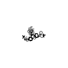 CC(C)(C)OC(=O)N1CCC2(C=C(OS(=O)(=O)C(F)(F)F)c3cc(O[Si](C)(C)C(C)(C)C)ccc3O2)CC1